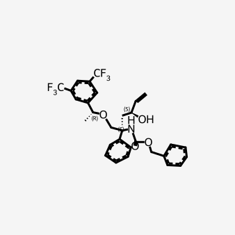 C=C[C@@H](O)C[C@](CO[C@H](C)c1cc(C(F)(F)F)cc(C(F)(F)F)c1)(NC(=O)OCc1ccccc1)c1ccccc1